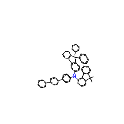 CC1(C)c2ccccc2-c2c(N(c3ccc(-c4ccc(-c5ccccc5)cc4)cc3)c3ccc4c(c3)C3=C(CCC=C3)C4(c3ccccc3)c3ccccc3)cccc21